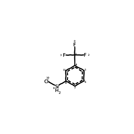 FC(F)(F)c1cccc([SiH2]Cl)c1